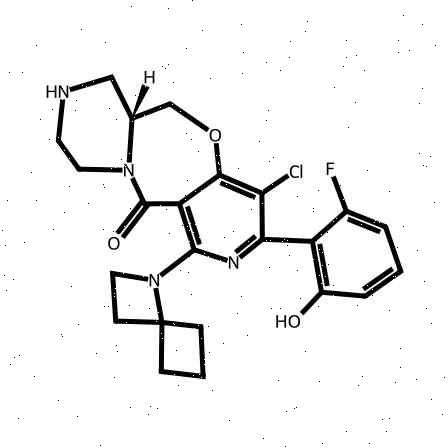 O=C1c2c(N3CCC34CCC4)nc(-c3c(O)cccc3F)c(Cl)c2OC[C@H]2CNCCN12